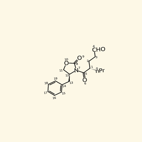 CCC[C@@H](CCC=O)C(=O)N1C(=O)OC[C@@H]1Cc1ccccc1